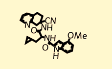 COc1cccc2[nH]c(C(=O)NC(CC3CC3)C(=O)NC3(C#N)CCc4cccnc4C3)cc12